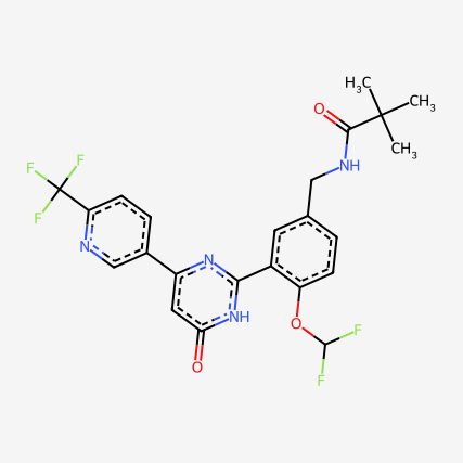 CC(C)(C)C(=O)NCc1ccc(OC(F)F)c(-c2nc(-c3ccc(C(F)(F)F)nc3)cc(=O)[nH]2)c1